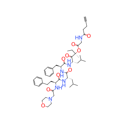 C#CCCC(=O)NCC(=O)O[C@](C)(CC)C(=O)[C@H](CC(C)C)NC(=O)[C@H](Cc1ccccc1)NC(=O)[C@H](CC(C)C)NC(=O)[C@H](CCc1ccccc1)NC(=O)CN1CCOCC1